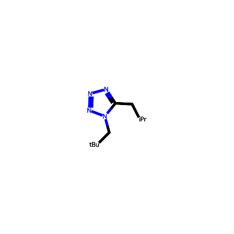 CC(C)Cc1nnnn1CC(C)(C)C